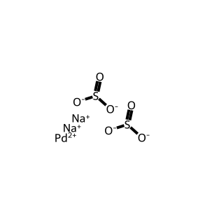 O=S([O-])[O-].O=S([O-])[O-].[Na+].[Na+].[Pd+2]